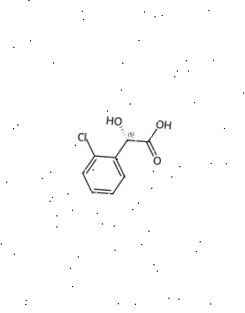 O=C(O)[C@@H](O)c1ccccc1Cl